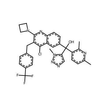 Cc1ccc(C(O)(c2ccc3nc(N4CCC4)c(Cc4ccc(C(F)(F)F)cc4)c(Cl)c3c2)c2cnnn2C)c(C)n1